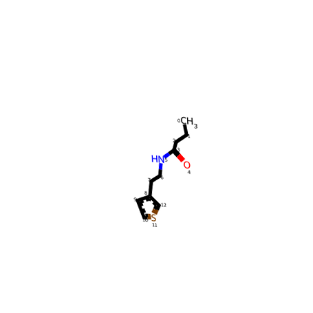 CCCC(=O)NCCc1ccsc1